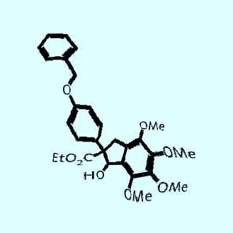 CCOC(=O)C1(c2ccc(OCc3ccccc3)cc2)Cc2c(OC)c(OC)c(OC)c(OC)c2C1O